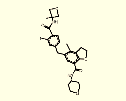 Cc1c(Cc2ccc(C(=O)NC3(C)COC3)c(F)c2)cc(C(=O)NC2CCOCC2)c2c1CCO2